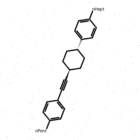 CCCCCCCc1ccc([C@H]2CC[C@H](C#Cc3ccc(CCCCC)cc3)CC2)cc1